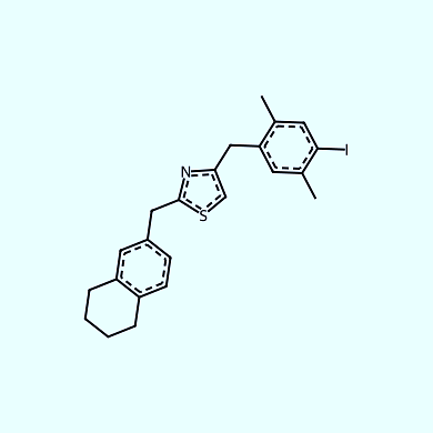 Cc1cc(Cc2csc(Cc3ccc4c(c3)CCCC4)n2)c(C)cc1I